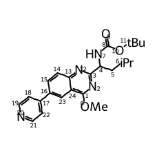 COc1nc(C(CC(C)C)NC(=O)OC(C)(C)C)nc2ccc(-c3ccncc3)cc12